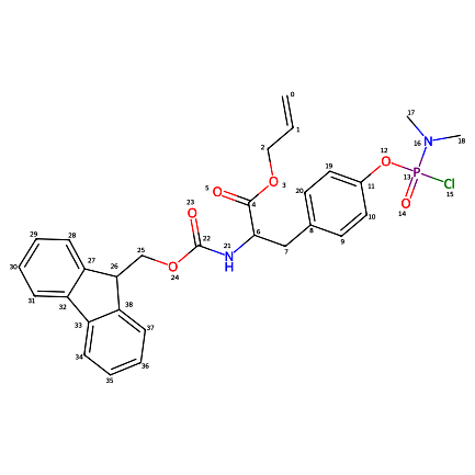 C=CCOC(=O)C(Cc1ccc(OP(=O)(Cl)N(C)C)cc1)NC(=O)OCC1c2ccccc2-c2ccccc21